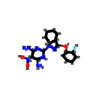 Nc1nc(-n2nc(Oc3ccccc3F)c3ccccc32)nc(N)c1[N+](=O)[O-]